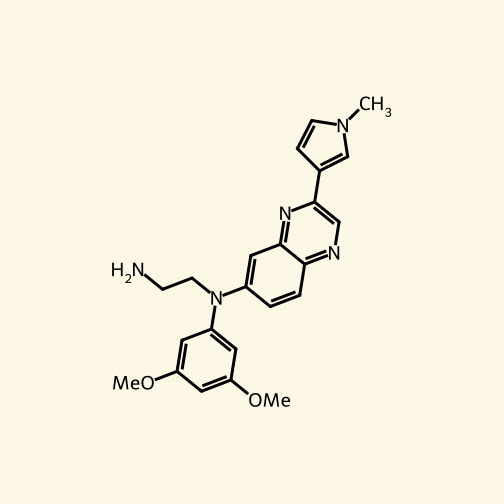 COc1cc(OC)cc(N(CCN)c2ccc3ncc(-c4ccn(C)c4)nc3c2)c1